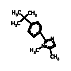 Cc1cnc(-c2ccc(C(C)(C)C)cc2)n1C